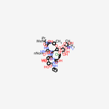 CCCCCCCCCC(=O)NC(=O)C[C@@H]1NC(=O)[C@H](NC(=O)[C@@H](CC(C)C)NC)[C@H](O)c2ccc(c(C)c2)Oc2cc3cc(c2O[C@@H]2O[C@H](CO)[C@@H](O)[C@H](O)[C@H]2O[C@H]2C[C@](C)(N)[C@H](O)[C@H](C)O2)Oc2ccc(cc2Cl)[C@@H](O)[C@@H]2NC(=O)[C@H](NC(=O)[C@@H]3NC1=O)c1ccc(O)c(c1)-c1c(O)cc(O)cc1[C@@H](C(=O)NC1C3CC4CC(C3)CC1C4)NC2=O